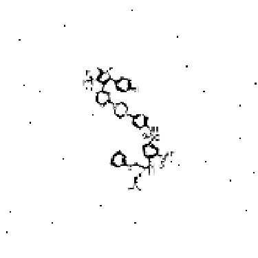 Cc1c(C(F)(F)F)c(-c2cccc(N3CCN(c4ccc(NS(=O)(=O)c5ccc(N[C@H](CCN(C)C)CSc6ccccc6)c([N+](=O)[O-])c5)cc4)CC3)c2)c(-c2ccc(Cl)cc2)n1C